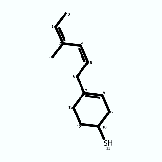 C/C=C(C)\C=C/CC1=CCC(S)CC1